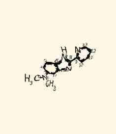 CN(C)c1ccc2[nH]c(-c3ccccn3)nc2c1